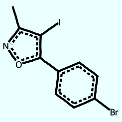 Cc1noc(-c2ccc(Br)cc2)c1I